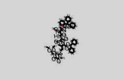 CCOC(Cn1nc(SC=CC2=C(C(=O)OC(c3ccccc3)c3ccccc3)N3C(=O)C(NC(=O)C(=NOC)c4csc(NC(c5ccccc5)(c5ccccc5)c5ccccc5)n4)C3[S+]([O-])C2)n(C)c(=O)c1=O)OCC